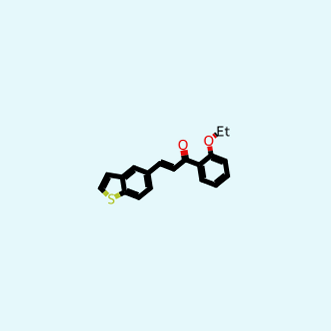 CCOc1ccccc1C(=O)C=Cc1ccc2sccc2c1